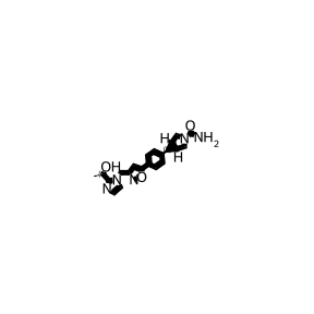 C[C@H](O)c1nccn1Cc1cc(-c2ccc([C@H]3[C@@H]4CN(C(N)=O)C[C@@H]43)cc2)on1